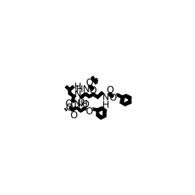 COC(=O)C(CC(=O)OCc1ccccc1)NC(=O)C(CC(C)C)NC(=O)C(CCCCNC(=O)OCc1ccccc1)NC(=O)OC(C)(C)C